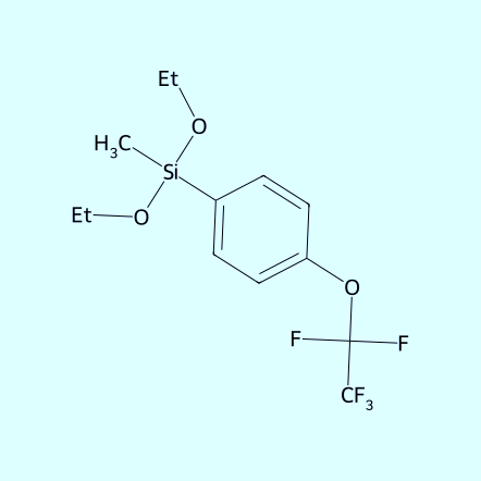 CCO[Si](C)(OCC)c1ccc(OC(F)(F)C(F)(F)F)cc1